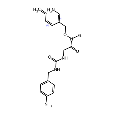 C=C/C=C\C(=C/N)CON(CC)C(=O)CNC(=O)NCc1ccc(N)cc1